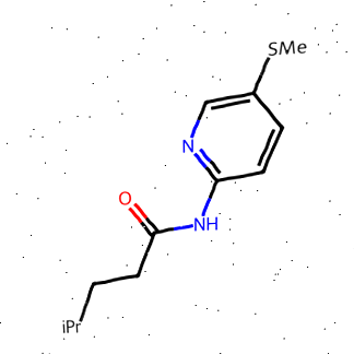 CSc1ccc(NC(=O)CCC(C)C)nc1